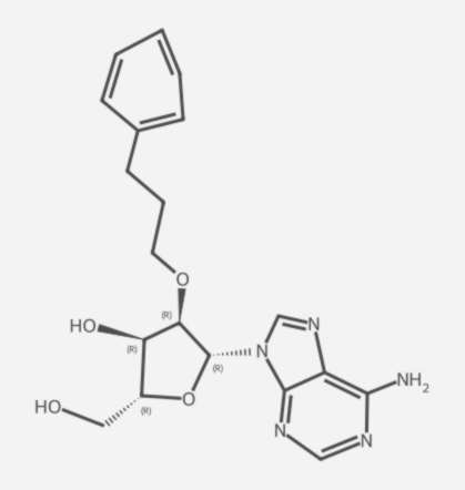 Nc1ncnc2c1ncn2[C@@H]1O[C@H](CO)[C@@H](O)[C@H]1OCCCc1ccccc1